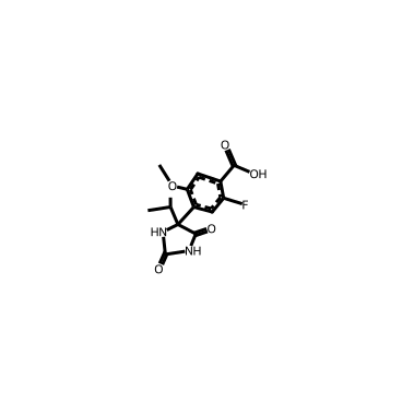 COc1cc(C(=O)O)c(F)cc1C1(C(C)C)NC(=O)NC1=O